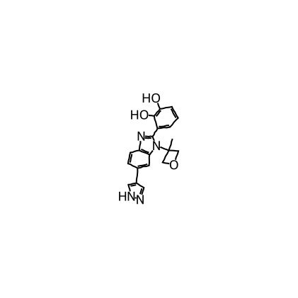 CC1(n2c(-c3cccc(O)c3O)nc3ccc(-c4cn[nH]c4)cc32)COC1